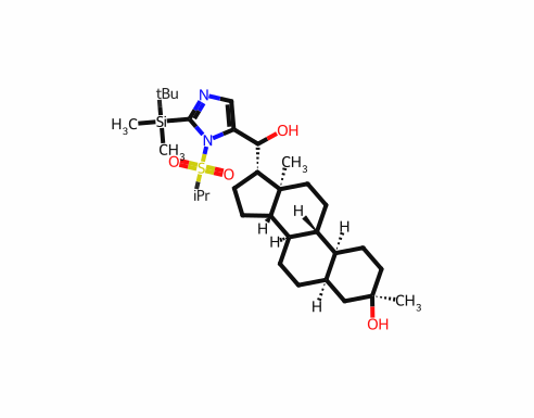 CC(C)S(=O)(=O)n1c(C(O)[C@H]2CC[C@H]3[C@@H]4CC[C@@H]5C[C@](C)(O)CC[C@@H]5[C@H]4CC[C@]23C)cnc1[Si](C)(C)C(C)(C)C